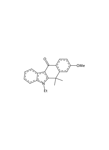 CCn1c2c(c3ccccc31)C(=O)c1ccc(OC)cc1C2(C)C